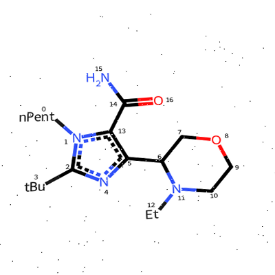 CCCCCn1c(C(C)(C)C)nc(C2COCCN2CC)c1C(N)=O